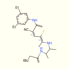 C=C(CC(C)(C)C)NC(C)C(C)N/C(C)=C(F)/C=C(/C#N)C(=C)Nc1cc(CC)cc(CC)c1